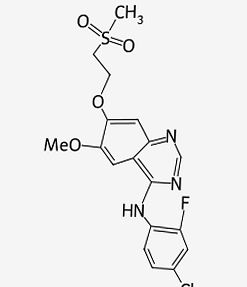 COc1cc2c(Nc3ccc(Cl)cc3F)ncnc2cc1OCCS(C)(=O)=O